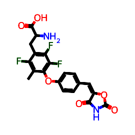 Cc1c(F)c(CC(N)C(=O)O)c(F)c(F)c1Oc1ccc(C=C2OC(=O)NC2=O)cc1